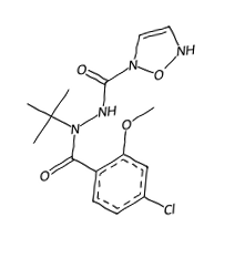 COc1cc(Cl)ccc1C(=O)N(NC(=O)N1C=CNO1)C(C)(C)C